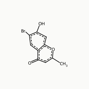 Cc1cc(=O)c2cc(Br)c(O)cc2o1